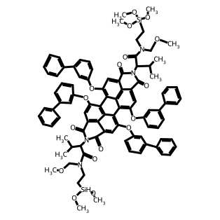 COCN(CC[SiH](OC)OC)C(=O)C(C(C)C)N1C(=O)c2cc(Oc3cccc(-c4ccccc4)c3)c3c4c(Oc5cccc(-c6ccccc6)c5)cc5c6c(cc(Oc7cccc(-c8ccccc8)c7)c(c7c(Oc8cccc(-c9ccccc9)c8)cc(c2c37)C1=O)c64)C(=O)N(C(C(=O)N(CC[Si](OC)(OC)OC)COC)C(C)C)C5=O